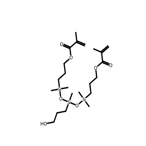 C=C(C)C(=O)OCCC[Si](C)(C)O[Si](C)(CCCO)O[Si](C)(C)CCCOC(=O)C(=C)C